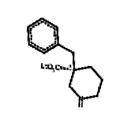 CCOC(=O)[C@]1(Cc2ccccc2)CCCNC1